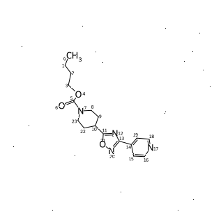 CCCCOC(=O)N1CCC(c2nc(-c3ccncc3)no2)CC1